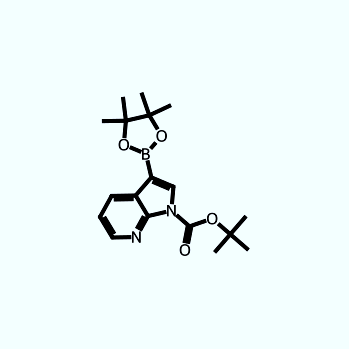 CC(C)(C)OC(=O)n1cc(B2OC(C)(C)C(C)(C)O2)c2cccnc21